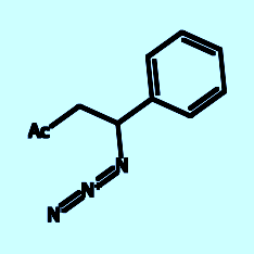 CC(=O)CC(N=[N+]=[N-])c1ccccc1